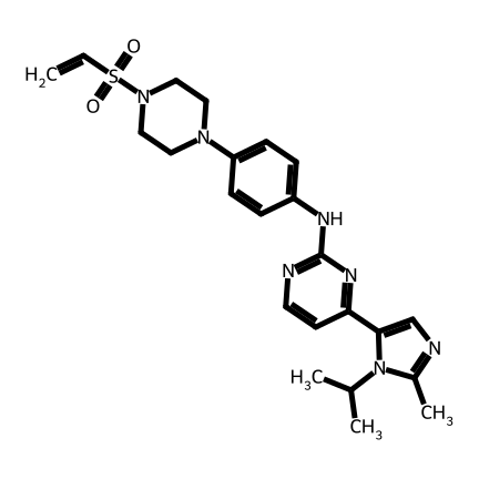 C=CS(=O)(=O)N1CCN(c2ccc(Nc3nccc(-c4cnc(C)n4C(C)C)n3)cc2)CC1